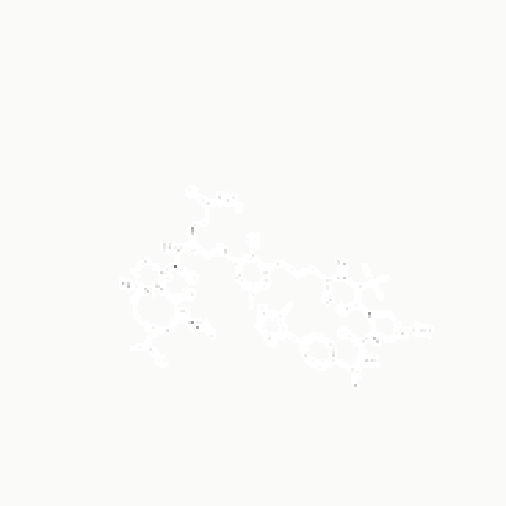 CC(=O)N1CC[C@H]2CC[C@@H](C(=O)N[C@@H](CCC(N)=O)COc3cc(C)cc(CCCC(=O)NC(C(=O)N4C[C@H](O)C[C@H]4C(=O)N[C@@H](C)c4ccc(-c5scnc5C)cc4)C(C)(C)C)c3Cl)N2C(=O)[C@@H](N)C1